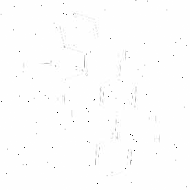 Cc1cc(C)c(-[n+]2ccccc2C)c(C)c1N1c2ccccc2N(C(C)C)[C@H]1C